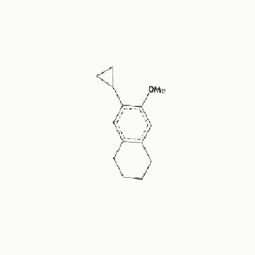 COc1cc2c(cc1C1CC1)CCCC2